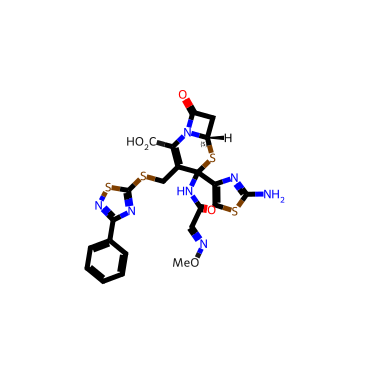 CON=CC(=O)NC1(c2csc(N)n2)S[C@H]2CC(=O)N2C(C(=O)O)=C1CSc1nc(-c2ccccc2)ns1